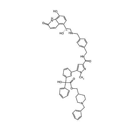 Cn1nc(C(=O)NCc2ccc(CNC[C@H](O)c3ccc(O)c4[nH]c(=O)ccc34)cc2)cc1-c1cccc(C(O)(C(=O)OCC2CCN(Cc3ccccc3)CC2)c2ccccc2)c1